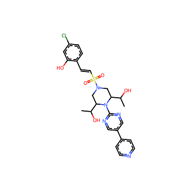 CC(O)C1CN(S(=O)(=O)C=Cc2ccc(Cl)cc2O)CC(C(C)O)N1c1ncc(-c2ccncc2)cn1